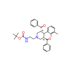 Cc1cccc(C2[C@@H](C(=O)c3ccccc3)CN(CCNC(=O)OC(C)(C)C)C[C@@H]2C(=O)c2ccccc2)c1C